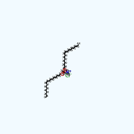 CCCCCCCC/C=C\CCCCCCCCOC(C)(C[N+](C)(C)C)OCCCCCCCC/C=C\CCCCCCCC.[Cl-]